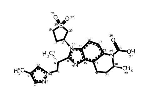 Cc1cnn(C[C@H](C)c2nc3c4c(ccc3n2[C@H]2CCS(=O)(=O)C2)N(C(=O)O)[C@@H](C)CC4)c1